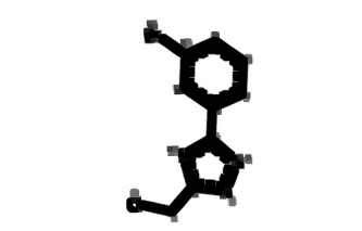 ClCc1nnc(-c2cccc(Br)c2)s1